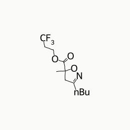 CCCCC1=NOC(C)(C(=O)OCCC(F)(F)F)C1